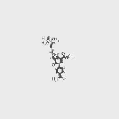 COC(=O)c1cn(C2CCC(C(C)=O)CC2)c(=O)c2cn(COCC[Si](C)(C)C)nc12